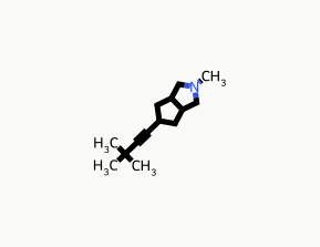 CN1CC2CC(C#CC(C)(C)C)CC2C1